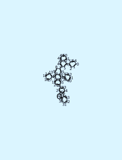 c1ccc(-c2cc(-c3ccc4c(-c5ccccc5)c5ccc(-c6ccc7c(c6)oc6ccccc67)cc5c(-c5ccccc5)c4c3)cc3ccccc23)cc1